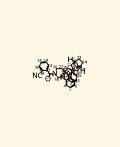 Cc1nc2ccccc2n1C1C[C@H]2CC[C@@H](C1)N2CCC1(c2ccccc2)CCN(C(=O)c2ccccc2C#N)CC1